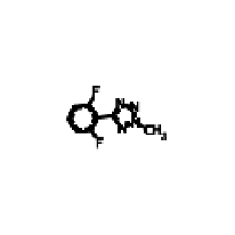 Cn1nnc(-c2c(F)cccc2F)n1